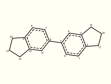 c1cc2c(cc1-c1ccc3c(c1)CCC3)CCC2